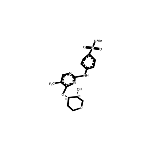 CNS(=O)(=O)c1ccc(Nc2ncc(C(F)(F)F)c(O[C@H]3CCOC[C@H]3O)n2)cc1